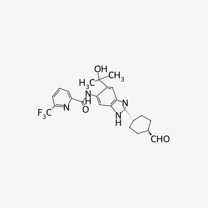 CC(C)(O)c1cc2nc([C@H]3CC[C@H](C=O)CC3)[nH]c2cc1NC(=O)c1cccc(C(F)(F)F)n1